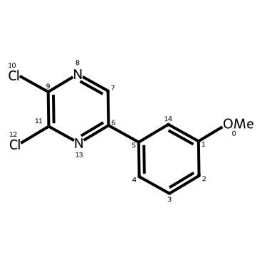 COc1cccc(-c2cnc(Cl)c(Cl)n2)c1